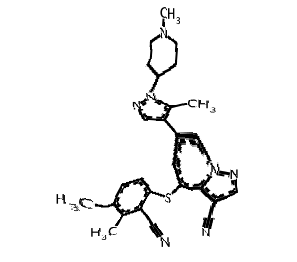 Cc1ccc(Sc2cc(-c3cnn(C4CCN(C)CC4)c3C)cn3ncc(C#N)c23)c(C#N)c1C